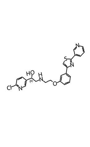 O[C@@H](CNCCOc1cccc(-c2csc(-c3cccnc3)n2)c1)c1ccc(Cl)nc1